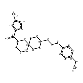 Cc1nc(C(=O)N2CCOC3(CCN(CCOc4ccc(CO)cc4)CC3)C2)cs1